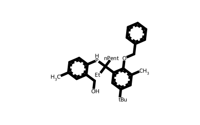 CCCCCC(CC)(Pc1ccc(C)cc1CO)c1cc(C(C)(C)C)cc(C)c1OCc1ccccc1